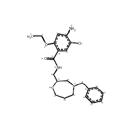 CCOc1cc(N)c(Cl)cc1C(=O)NCC1CN(Cc2ccccc2)CCCO1